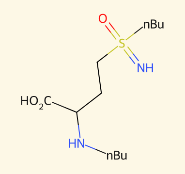 CCCCNC(CCS(=N)(=O)CCCC)C(=O)O